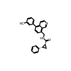 N#Cc1cccc(-c2ccc(CNC(=O)[C@H]3C[C@@H]3c3ccccc3)c3cnccc23)c1